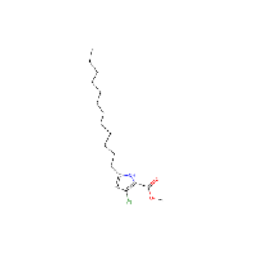 CCCCCCCCCCCCc1cc(Cl)c(C(=O)OC)[nH]1